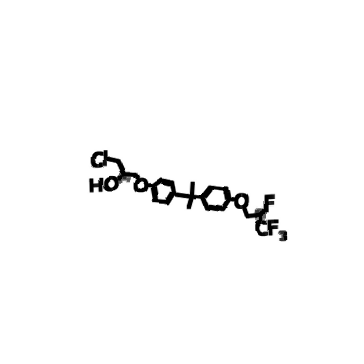 CC(C)(c1ccc(OC[C@@H](O)CCl)cc1)c1ccc(OC[C@@H](F)C(F)(F)F)cc1